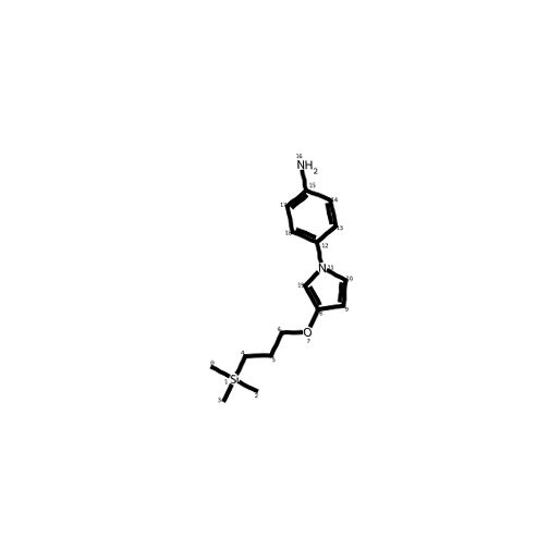 C[Si](C)(C)CCCOc1ccn(-c2ccc(N)cc2)c1